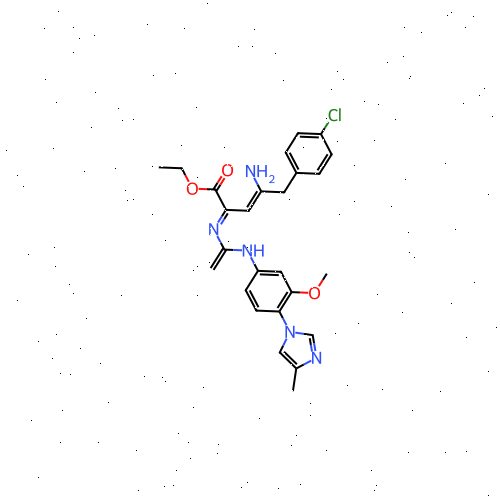 C=C(/N=C(\C=C(/N)Cc1ccc(Cl)cc1)C(=O)OCC)Nc1ccc(-n2cnc(C)c2)c(OC)c1